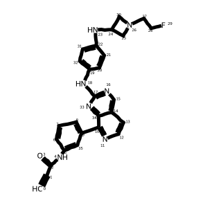 C#CC(=O)Nc1cccc(-c2nccc3cnc(Nc4ccc(NC5CN(CCF)C5)cc4)nc23)c1